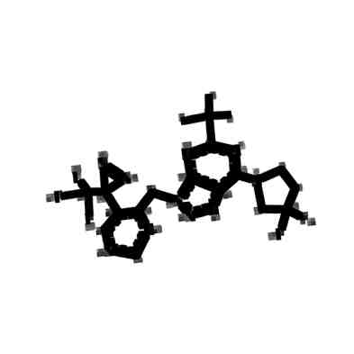 CC(C)(C)c1nc(N2CCC(F)(F)C2)c2nnn(Cc3ncncc3C3(C(F)(F)F)N=N3)c2n1